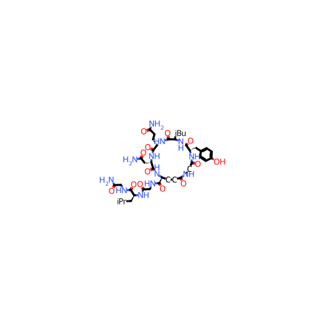 CCC(C)C1NC(=O)[C@H](Cc2ccc(O)cc2)NC(=O)CNC(=O)CC[C@@H](C(=O)NCC(=O)N[C@@H](CC(C)C)C(=O)NCC(N)=O)NC(=O)[C@H](CC(N)=O)NC(=O)[C@H](CCC(N)=O)NC1=O